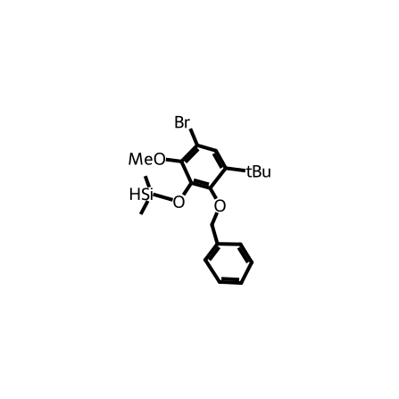 COc1c(Br)cc(C(C)(C)C)c(OCc2ccccc2)c1O[SiH](C)C